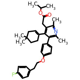 Cc1nc(C)c(-c2ccc(OCCc3ccc(F)cc3)cc2)c(C2=CCC(C)(C)CC2)c1CC(=O)OC(C)C